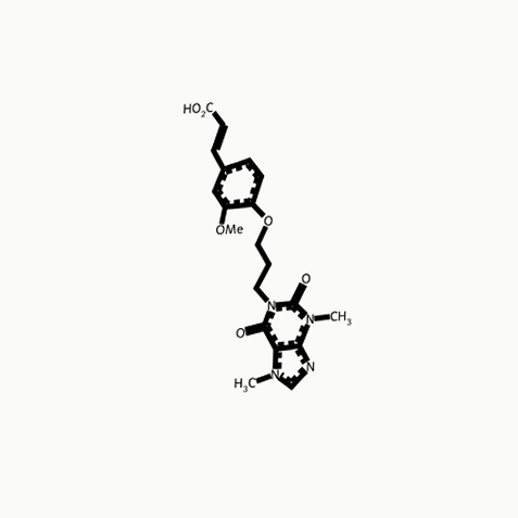 COc1cc(/C=C/C(=O)O)ccc1OCCCn1c(=O)c2c(ncn2C)n(C)c1=O